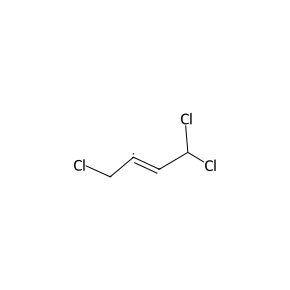 ClC[C]=CC(Cl)Cl